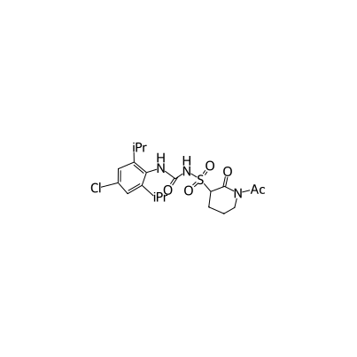 CC(=O)N1CCCC(S(=O)(=O)NC(=O)Nc2c(C(C)C)cc(Cl)cc2C(C)C)C1=O